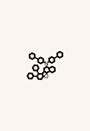 c1ccc(-c2ccc(N(c3ccc(-c4ccccc4)cc3)c3cc4c(oc5ccc(-c6ccccc6)c(-c6ccccc6)c54)c4ccccc34)cc2)cc1